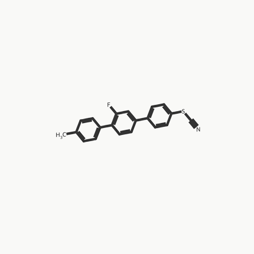 Cc1ccc(-c2ccc(-c3ccc(SC#N)cc3)cc2F)cc1